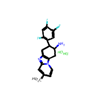 Cl.Cl.NC1Cc2c(nc3cc(C(=O)O)ccn23)CC1c1cc(F)c(F)cc1F